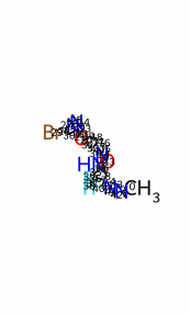 CCN1CCN(Cc2ccc(NC(=O)N3CCc4ccc(Oc5ccnn6cc(Br)cc56)cc4C3)cc2C(F)(F)F)CC1